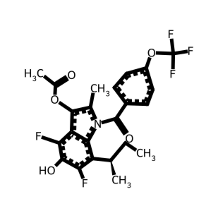 CC[C@@H](C)c1c(F)c(O)c(F)c2c(OC(C)=O)c(C)n(C(=O)c3ccc(OC(F)(F)F)cc3)c12